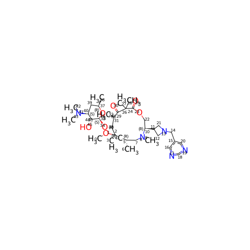 CO[C@]1(C)C[C@@H](C)CN(C)[C@H](C2CN(Cc3cncnc3)C2)COC(=O)C(C)(C)C(=O)[C@H](C)[C@H]1O[C@@H]1O[C@H](C)C[C@H](N(C)C)[C@H]1O